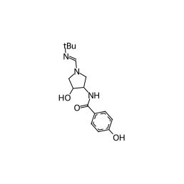 CC(C)(C)/N=C/N1CC(O)C(NC(=O)c2ccc(O)cc2)C1